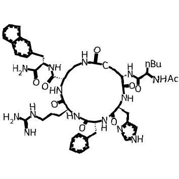 CCCCC(NC(C)=O)C(=O)N[C@H]1CCC(=O)NCC[C@@H](C(=O)N[C@@H](Cc2ccc3ccccc3c2)C(N)=O)NC(=O)[C@H](CCCNC(=N)N)NC(=O)[C@@H](Cc2ccccc2)NC(=O)[C@H](Cc2c[nH]cn2)NC1=O